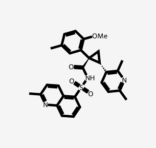 COc1ccc(C)cc1[C@]1(C(=O)NS(=O)(=O)c2cccc3nc(C)ccc23)C[C@@H]1c1ccc(C)nc1C